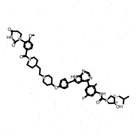 COc1ccc(C(=O)N2CCC(CCN3CCC(Oc4ccc(-c5cc6c(-c7cc(F)cc(NC(=O)N8C[C@H](CC(C)C)[C@@H](O)C8)c7C)ncnc6[nH]5)cc4)CC3)CC2)cc1N1CCC(=O)NC1=O